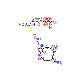 CN[C@@H](CCC(=O)NC[C@H](O)[C@@H](O)[C@H](O)[C@H](O)CO)C(=O)N[C@@H](CSSCCOC(=O)NCCCNC1=C2C[C@@H](C)C[C@H](OC)[C@H](O)[C@@H](C)/C=C(\C)[C@H](OC(N)=O)[C@@H](OC)/C=C\C=C(/C)C(=O)NC(=CC1=O)C2=O)C(=O)O